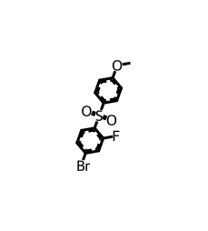 COc1ccc(S(=O)(=O)c2ccc(Br)cc2F)cc1